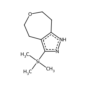 C[Si](C)(C)c1n[nH]c2c1CCOCC2